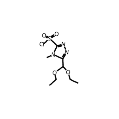 CCOC(OCC)c1nnc(S(=O)(=O)Cl)n1C